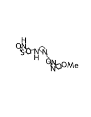 COc1ccc2ncc(OCCCN3CCCC(NCc4ccc5c(c4)NC(=O)CS5)C3)nc2c1